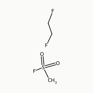 CS(=O)(=O)F.FCCF